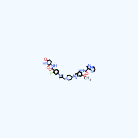 COc1cc2nn(C3CCN(CC4CN(c5ccc(C(=O)NC6CCC(=O)NC6=O)c(F)c5)C4)CC3)cc2cc1NC(=O)c1cnn2cccnc12